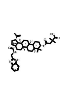 C=C(C)[C@@H]1CC[C@]2(C(=O)NCc3nc4ccccc4[nH]3)CC[C@]3(C)[C@H](CC[C@@H]4[C@@]5(C)CC[C@H](OC(=O)CC(C)(C)C(=O)O)C(C)(C)[C@@H]5CC[C@]43C)[C@@H]12